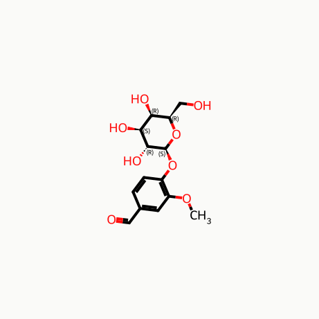 COc1cc(C=O)ccc1O[C@@H]1O[C@H](CO)[C@H](O)[C@H](O)[C@H]1O